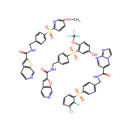 COc1ccc(S(=O)(=O)c2ccc(CNC(=O)c3cc4ccncc4s3)cc2)nc1.O=C(NCc1ccc(S(=O)(=O)c2cc(O)ccc2OC(F)(F)F)cc1)c1cc2ccncc2o1.O=C(NCc1ccc(S(=O)(=O)c2cccc(Cl)c2F)cc1)c1cnc2nccn2c1